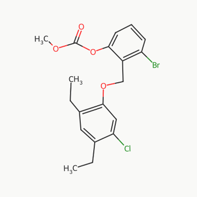 CCc1cc(CC)c(OCc2c(Br)cccc2OC(=O)OC)cc1Cl